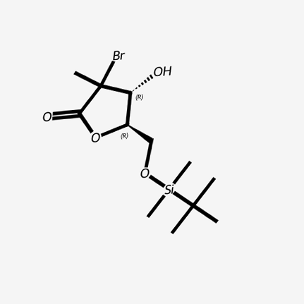 CC1(Br)C(=O)O[C@H](CO[Si](C)(C)C(C)(C)C)[C@H]1O